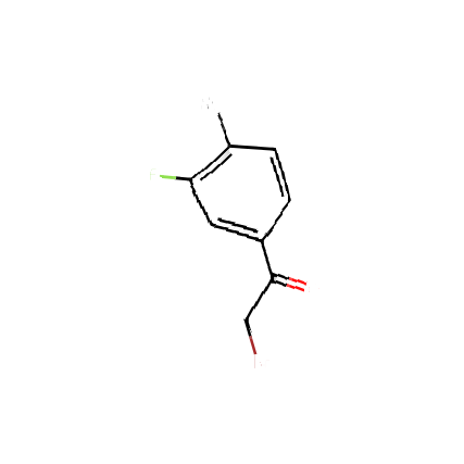 N#Cc1ccc(C(=O)CBr)cc1F